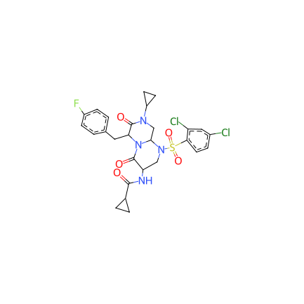 O=C(NC1CN(S(=O)(=O)c2ccc(Cl)cc2Cl)C2CN(C3CC3)C(=O)C(Cc3ccc(F)cc3)N2C1=O)C1CC1